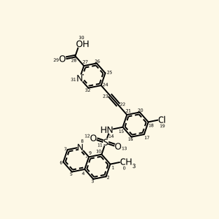 Cc1ccc2cccnc2c1S(=O)(=O)Nc1ccc(Cl)cc1C#Cc1ccc(C(=O)O)nc1